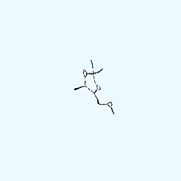 COC[C@@H]1OC(C)(C)O[C@@H]1C